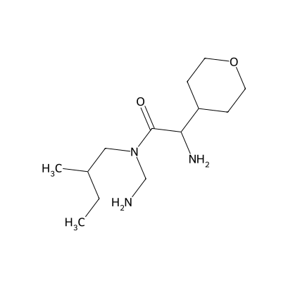 CCC(C)CN(CN)C(=O)C(N)C1CCOCC1